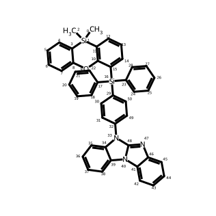 C[Si]1(C)c2ccccc2Oc2c1cccc2[Si](c1ccccc1)(c1ccccc1)c1ccc(-n2c3ccccc3n3c4ccccc4nc23)cc1